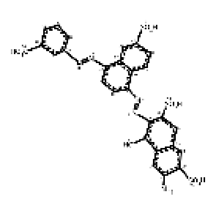 Nc1cc2c(O)c(N=Nc3ccc(N=Nc4cccc(C(=O)O)c4)c4cc(S(=O)(=O)O)ccc34)c(S(=O)(=O)O)cc2cc1S(=O)(=O)O